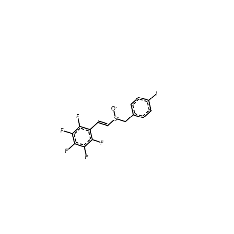 [O-][S+](/C=C/c1c(F)c(F)c(F)c(F)c1F)Cc1ccc(I)cc1